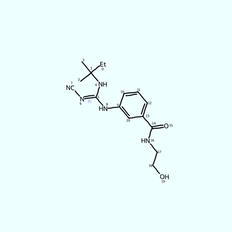 CCC(C)(C)N/C(=N\C#N)Nc1cccc(C(=O)NCCO)c1